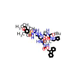 Cc1c(C)c(S(=O)(=O)NC(=N)NCCCC(NC(=O)CNC(=O)OCC2c3ccccc3-c3ccccc32)C(=O)NC(C(=O)NC(COC(C)(C)C)C(=O)NC(Cc2ccccc2)C(=O)O)C(C)C)c(C)c2c1OC(C)(C)C2